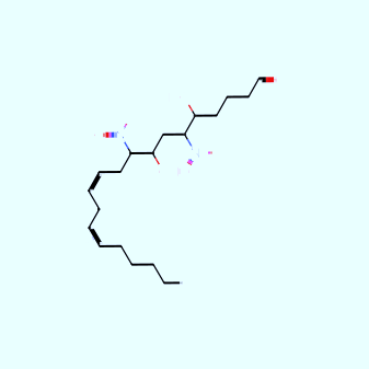 CCCCC/C=C\C/C=C\CC(C(O)CC(C(O)CCC[C]=O)[N+](=O)[O-])[N+](=O)[O-]